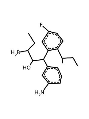 BC(CC)C(O)C(c1cccc(N)c1)c1cc(F)ccc1C(C)CC